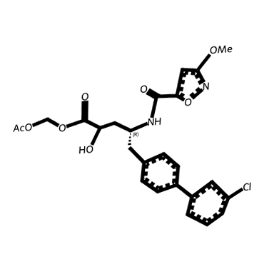 COc1cc(C(=O)N[C@H](Cc2ccc(-c3cccc(Cl)c3)cc2)CC(O)C(=O)OCOC(C)=O)on1